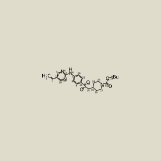 C=Cc1cnc(Nc2ccc(S(=O)(=O)CC3CCN(C(=O)OC(C)(C)C)CC3)cc2)nc1